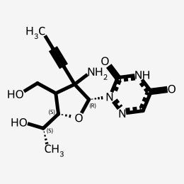 CC#CC1(N)C(CO)[C@@H]([C@H](C)O)O[C@H]1n1ncc(=O)[nH]c1=O